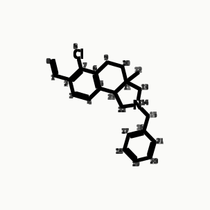 C=Cc1ccc2c(c1Cl)CCC1(C)CN(Cc3ccccc3)CC21